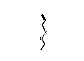 C=C[CH]SOCC